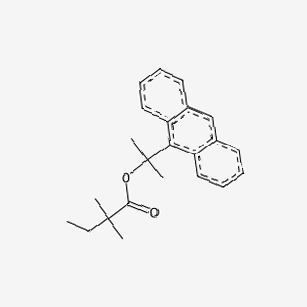 CCC(C)(C)C(=O)OC(C)(C)c1c2ccccc2cc2ccccc12